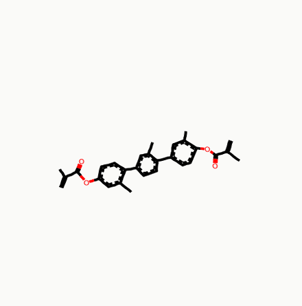 C=C(C)C(=O)Oc1ccc(-c2ccc(-c3ccc(OC(=O)C(=C)C)c(C)c3)c(C)c2)c(C)c1